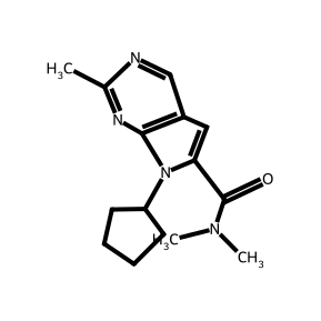 Cc1ncc2cc(C(=O)N(C)C)n(C3CCCC3)c2n1